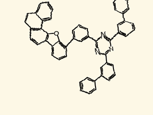 c1ccc(-c2cccc(-c3nc(-c4cccc(-c5ccccc5)c4)nc(-c4cccc(-c5cccc6c5oc5c6ccc6ccc7ccccc7c65)c4)n3)c2)cc1